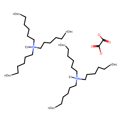 CCCCCCCCCCCCCCC[N+](CC)(CCCCCCCCCCCCCCC)CCCCCCCCCCCCCCC.CCCCCCCCCCCCCCC[N+](CC)(CCCCCCCCCCCCCCC)CCCCCCCCCCCCCCC.O=C([O-])C(=O)[O-]